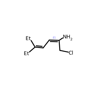 CCC(=C/C=C(/N)CCl)CC